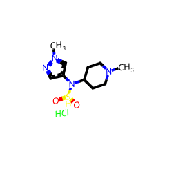 CN1CCC(N(c2cnn(C)c2)[SH](=O)=O)CC1.Cl